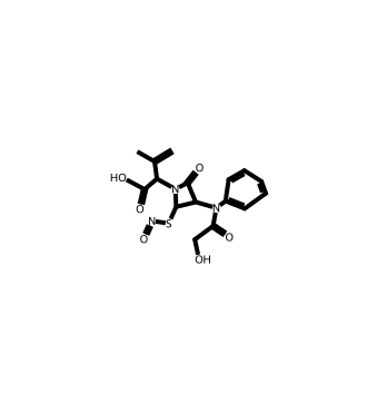 C=C(C)C(C(=O)O)N1C(=O)C(N(C(=O)CO)c2ccccc2)C1SN=O